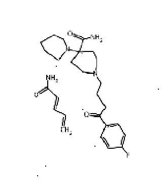 C=C/C=C/C(N)=O.NC(=O)C1(N2CCCCC2)CCN(CCCC(=O)c2ccc(F)cc2)CC1